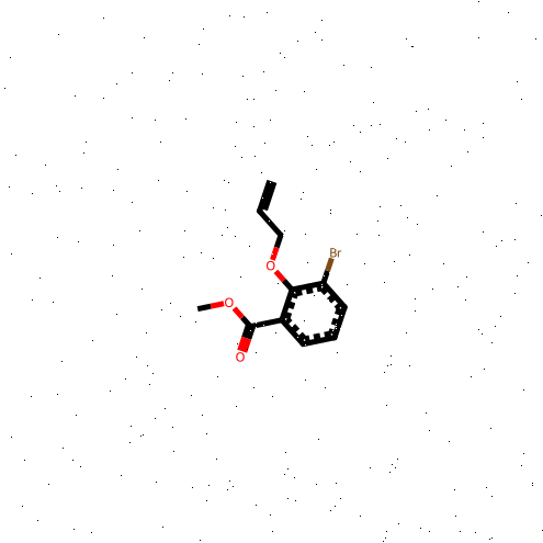 C=CCOc1c(Br)cccc1C(=O)OC